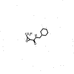 O=C(O)C1OC1C(=O)NCC1CCCCC1